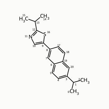 CC(C)c1ccc2cc(-c3cnc(C(C)C)s3)ccc2c1